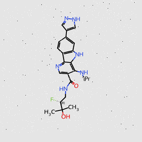 CC(C)Nc1c(C(=O)NC[C@@H](F)C(C)(C)O)cnc2c1[nH]c1cc(-c3cn[nH]c3)ccc12